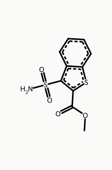 COC(=O)c1sc2ccccc2c1S(N)(=O)=O